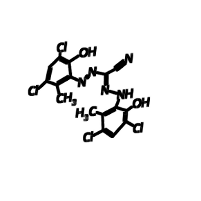 Cc1c(Cl)cc(Cl)c(O)c1N=NC(C#N)=NNc1c(C)c(Cl)cc(Cl)c1O